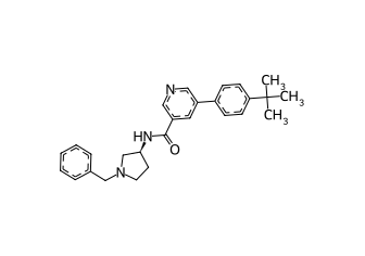 CC(C)(C)c1ccc(-c2cncc(C(=O)N[C@H]3CCN(Cc4ccccc4)C3)c2)cc1